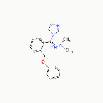 CN(C)/N=C(/c1ccccc1COc1ccccc1)n1ccnc1